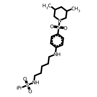 CC1CC(C)CN(S(=O)(=O)c2ccc(NCCCCCNS(=O)(=O)C(C)C)cc2)C1